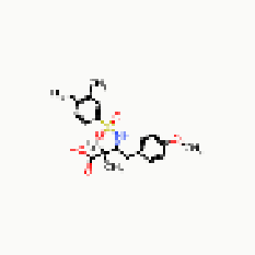 COc1ccc(CC(NS(=O)(=O)c2ccc(C)c(C)c2)C(C)(C)C(=O)O)cc1